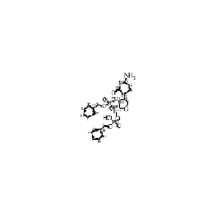 Nc1ccn(C2CO[C@H](COP(=O)(O)OCc3ccccc3)[C@H]2OP(=O)(O)OCc2ccccc2)c(=O)n1